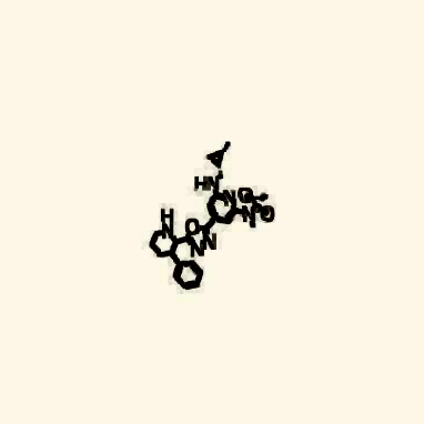 C[C@@H]1C[C@H]1CNc1cc(-c2nnc(C3NCCCC3c3ccccc3)o2)cc(N(C)S(C)(=O)=O)n1